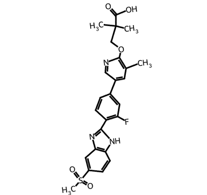 Cc1cc(-c2ccc(-c3nc4cc(S(C)(=O)=O)ccc4[nH]3)c(F)c2)cnc1OCC(C)(C)C(=O)O